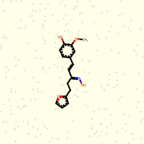 COc1cc(C=CC(CCc2ccco2)=NO)ccc1O